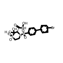 CC1(C)[C@H](C(=O)NO)N(S(=O)(=O)c2ccc(-c3ccc(Br)cc3)cc2)CCS1(=O)=O